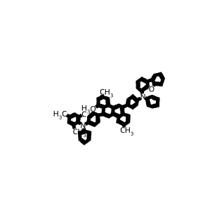 Cc1cc(C)c(N(c2ccccc2)c2ccc3c(c2)Oc2cc(C)cc4c2c-3cc2c3cc(C)ccc3c(-c3ccc(N(c5ccccc5)c5cccc6c5oc5ccccc56)cc3)cc42)c(C)c1